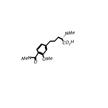 CNC(=O)c1ccc(CCC[C@H](NC)C(=O)O)cc1OC